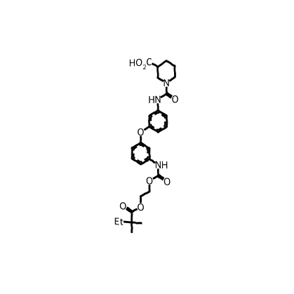 CCC(C)(C)C(=O)OCCOC(=O)Nc1cccc(Oc2cccc(NC(=O)N3CCCC(C(=O)O)C3)c2)c1